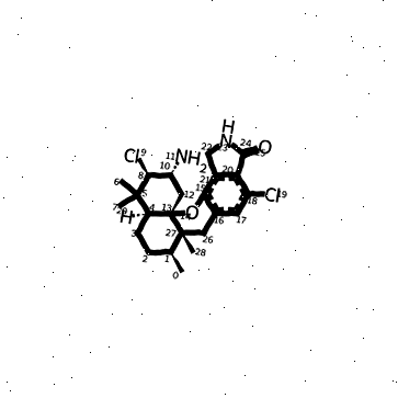 C[C@H]1CC[C@H]2C(C)(C)[C@@H](Cl)[C@H](N)C[C@]23Oc2c(cc(Cl)c4c2CNC4=O)C[C@]13C